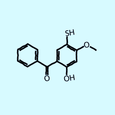 COc1cc(O)c(C(=O)c2ccccc2)cc1S